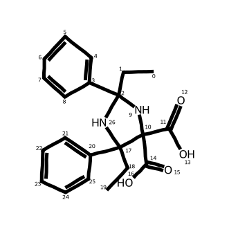 CCC1(c2ccccc2)NC(C(=O)O)(C(=O)O)C(CC)(c2ccccc2)N1